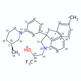 Cc1cccc(CC2(c3cccc(N4CCC[C@H](C)C4)c3)CN(C[C@@H](O)C(F)(F)F)c3ccccc32)c1